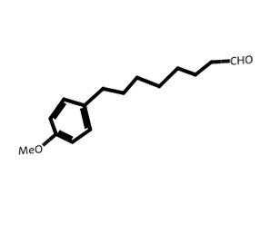 COc1ccc(CCCCCCCC=O)cc1